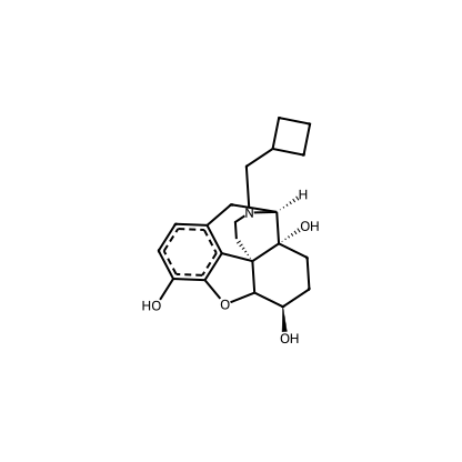 Oc1ccc2c3c1OC1[C@H](O)CC[C@]4(O)[C@H](C2)N(CC2CCC2)CC[C@@]314